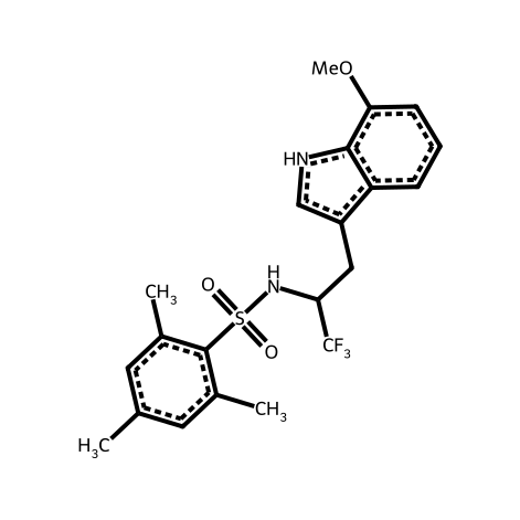 COc1cccc2c(CC(NS(=O)(=O)c3c(C)cc(C)cc3C)C(F)(F)F)c[nH]c12